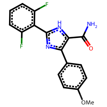 COc1ccc(-c2nc(-c3c(F)cccc3F)[nH]c2C(N)=O)cc1